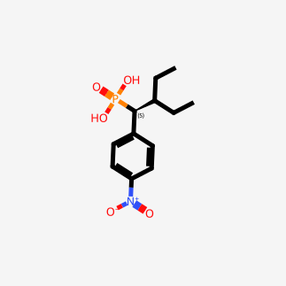 CCC(CC)[C@@H](c1ccc([N+](=O)[O-])cc1)P(=O)(O)O